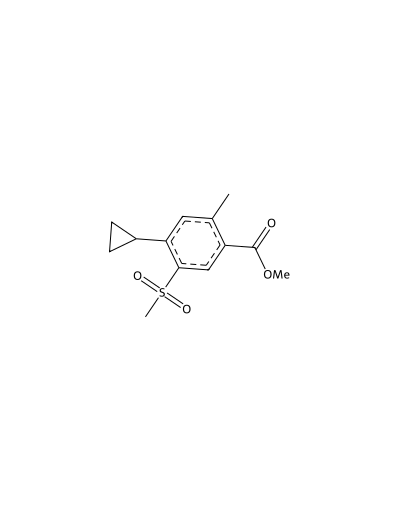 COC(=O)c1cc(S(C)(=O)=O)c(C2CC2)cc1C